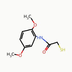 COc1ccc(OC)c(NC(=O)CS)c1